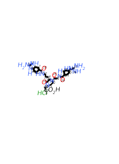 Cl.N=C(N)Nc1ccc(C(=O)NCCC[C@H]2C(=O)N(CC(=O)O)CCN2C(=O)CNC(=O)c2ccc(NC(=N)N)cc2)cc1